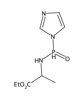 CCOC(=O)C(C)N[PH](=O)n1ccnc1